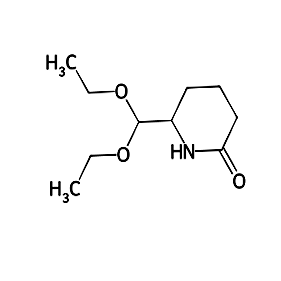 CCOC(OCC)C1CCCC(=O)N1